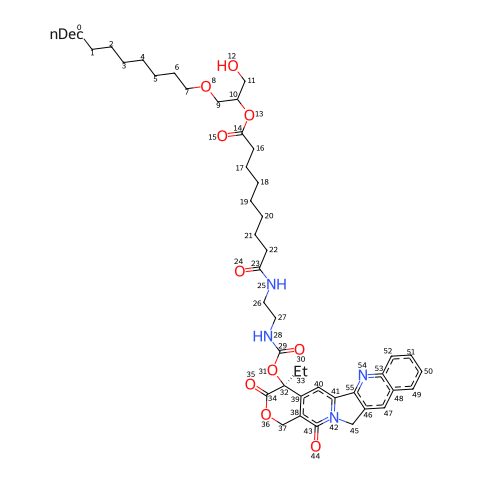 CCCCCCCCCCCCCCCCCOCC(CO)OC(=O)CCCCCCCC(=O)NCCNC(=O)O[C@]1(CC)C(=O)OCc2c1cc1n(c2=O)Cc2cc3ccccc3nc2-1